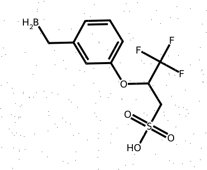 BCc1cccc(OC(CS(=O)(=O)O)C(F)(F)F)c1